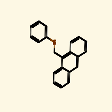 c1ccc(SCc2c3ccccc3cc3ccccc23)cc1